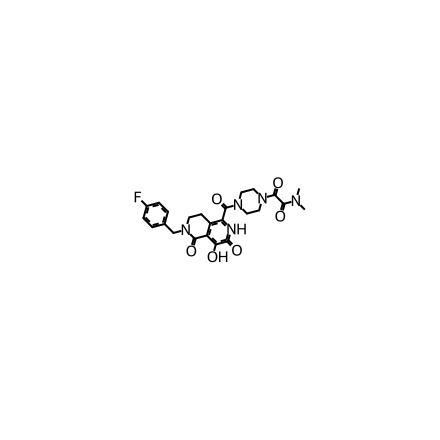 CN(C)C(=O)C(=O)N1CCN(C(=O)c2[nH]c(=O)c(O)c3c2CCN(Cc2ccc(F)cc2)C3=O)CC1